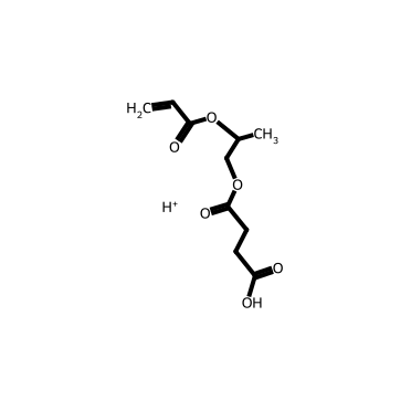 C=CC(=O)OC(C)COC(=O)CCC(=O)O.[H+]